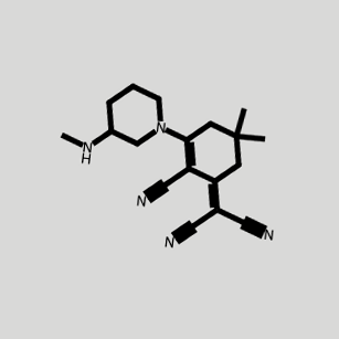 CNC1CCCN(C2=C(C#N)C(=C(C#N)C#N)CC(C)(C)C2)C1